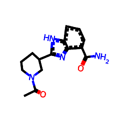 CC(=O)N1CCCC(c2nc3c(C(N)=O)cccc3[nH]2)C1